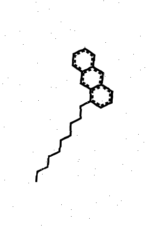 CCCCCCCCCCc1cccc2cc3c[c]ccc3cc12